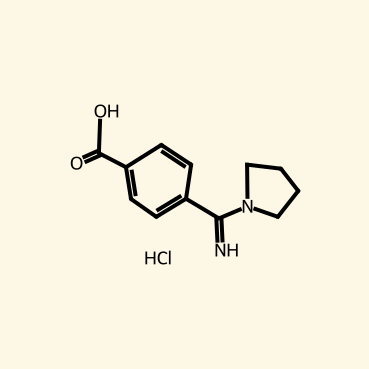 Cl.N=C(c1ccc(C(=O)O)cc1)N1CCCC1